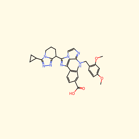 COc1ccc(CNc2nccn3c(C4CCCn5c(C6CC6)nnc54)nc(-c4ccc(C(=O)O)cc4C)c23)c(OC)c1